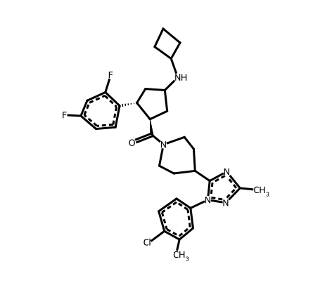 Cc1nc(C2CCN(C(=O)[C@@H]3CC(NC4CCC4)C[C@H]3c3ccc(F)cc3F)CC2)n(-c2ccc(Cl)c(C)c2)n1